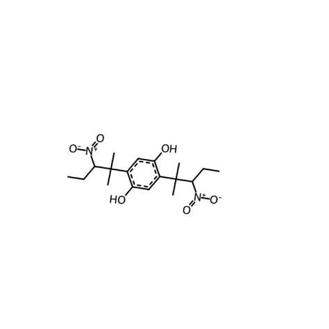 CCC([N+](=O)[O-])C(C)(C)c1cc(O)c(C(C)(C)C(CC)[N+](=O)[O-])cc1O